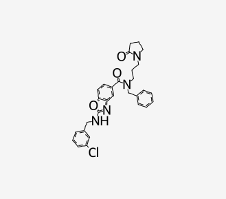 O=C1CCCN1CCCN(Cc1ccccc1)C(=O)c1ccc2oc(NCc3cccc(Cl)c3)nc2c1